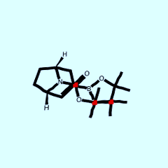 CC(C)(C)OC(=O)N1[C@@H]2CC[C@H]1C=C(B1OC(C)(C)C(C)(C)O1)C2